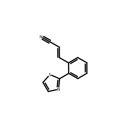 N#C/C=C/c1ccccc1-c1nccs1